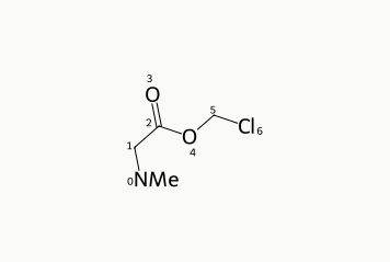 CNCC(=O)OCCl